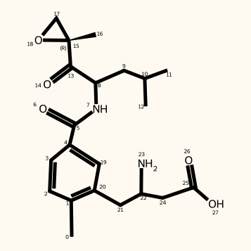 Cc1ccc(C(=O)NC(CC(C)C)C(=O)[C@@]2(C)CO2)cc1CC(N)CC(=O)O